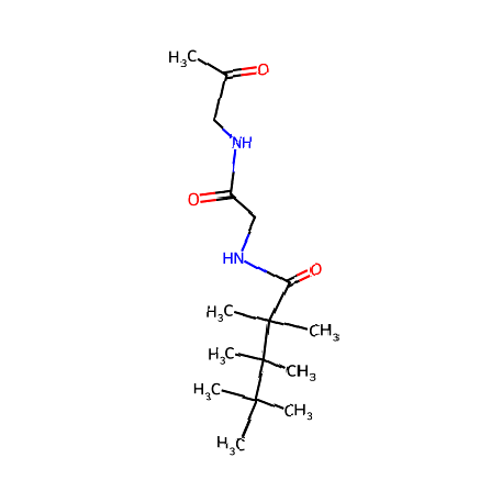 CC(=O)CNC(=O)CNC(=O)C(C)(C)C(C)(C)C(C)(C)C